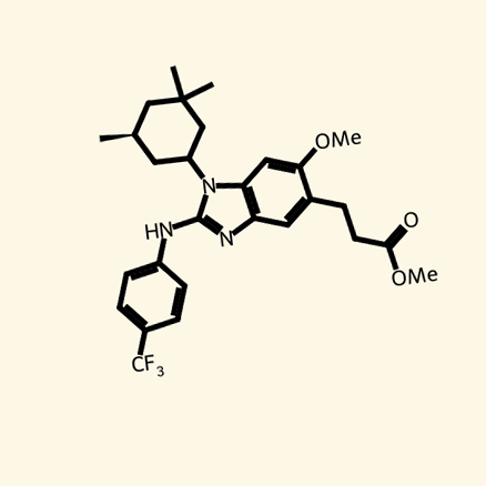 COC(=O)CCc1cc2nc(Nc3ccc(C(F)(F)F)cc3)n(C3C[C@@H](C)CC(C)(C)C3)c2cc1OC